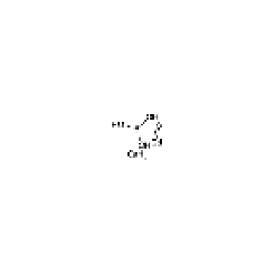 OB(O)O.[CaH2].[O]=[Gd]